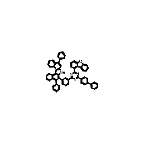 Cn1c2cc(-c3ccccc3)c3ccccc3c2c2c3ccccc3c(-c3ccccc3)c(-c3cccc(-c4nc(-c5ccc(-c6ccccc6)cc5)nc(-c5cccc6oc7ccccc7c56)n4)c3)c21